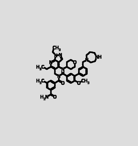 CCc1nc2c(cnn2CC)c(NC2CCOCC2)c1CN(Cc1ccc(OC)c(-c2cccc(CN3CCCNCC3)c2)c1)C(=O)c1cc(C)cc(C(N)=O)c1